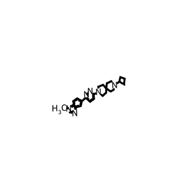 Cn1cnc2cc(-c3ccc(N4CCC5(CC4)CCN(C4CCC4)CC5)nn3)ccc21